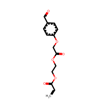 C=CC(=O)OCCOC(=O)COc1ccc(C=O)cc1